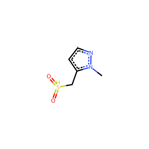 Cn1n[c]cc1C[SH](=O)=O